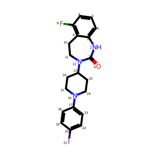 O=C1Nc2cccc(F)c2CCN1C1CCN(c2ccc(I)cc2)CC1